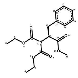 CCOC(=O)N(C(=O)OCC)[C@@H](Cc1ccccc1)C(=O)OC